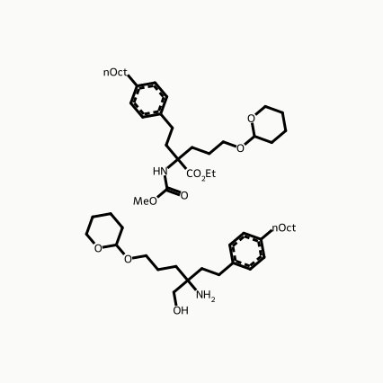 CCCCCCCCc1ccc(CCC(CCCOC2CCCCO2)(NC(=O)OC)C(=O)OCC)cc1.CCCCCCCCc1ccc(CCC(N)(CO)CCCOC2CCCCO2)cc1